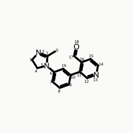 CC1=NCCN1c1cccc(-c2cnccc2C=O)c1